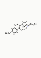 CCOC(=O)/C=C1\CCC2C3CCc4cc(OC)ccc4C3CCC12C